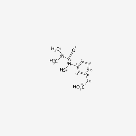 CN(C)C(=O)N(S)c1cccc(CC(=O)O)c1